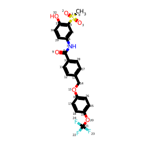 CS(=O)(=O)c1cc(NC(=O)c2ccc(COc3ccc(OC(F)(F)F)cc3)cc2)ccc1O